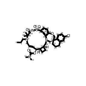 CCCN1C/C=C/[C@H](OC(=O)N(C)C)[C@@H]2CC[C@H]2CN2C[C@@]3(CCCc4cc(Cl)ccc43)COc3ccc(cc32)S(=O)(=O)NC(=O)C1(C)C